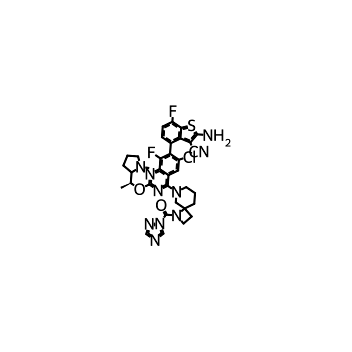 C[C@H](Oc1nc(N2CCCC3(CCN3C(=O)n3cncn3)C2)c2cc(Cl)c(-c3ccc(F)c4sc(N)c(C#N)c34)c(F)c2n1)C1CCCN1C